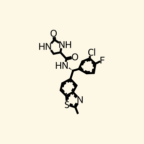 Cc1nc2cc([C@H](NC(=O)C3CNC(=O)N3)c3ccc(F)c(Cl)c3)ccc2s1